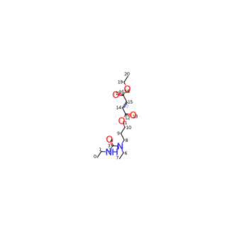 CCNC(=O)N(CC)CCCOC(=O)/C=C/C(=O)OCC